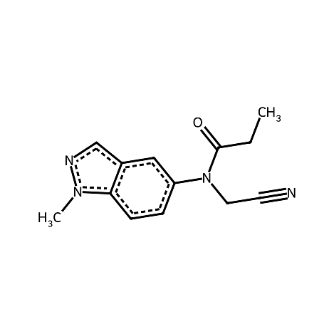 CCC(=O)N(CC#N)c1ccc2c(cnn2C)c1